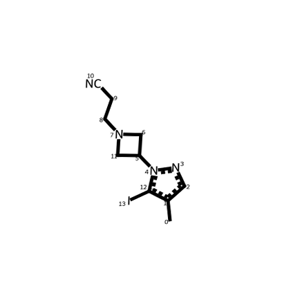 Cc1cnn(C2CN(CCC#N)C2)c1I